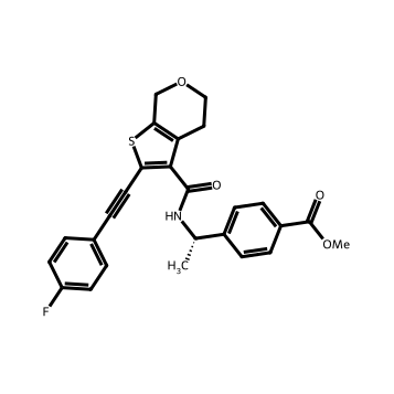 COC(=O)c1ccc([C@H](C)NC(=O)c2c(C#Cc3ccc(F)cc3)sc3c2CCOC3)cc1